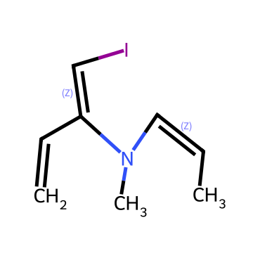 C=C/C(=C/I)N(C)/C=C\C